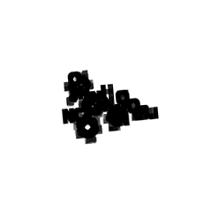 CC1COCCN1c1cc(C2(C#N)CCCCC2)cc(Nc2ccnn2C(=O)OC(C)(C)C)n1